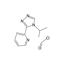 CC(C)n1cnnc1-c1ccccn1.O=CCl